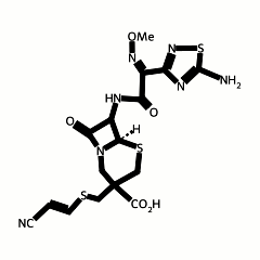 CON=C(C(=O)NC1C(=O)N2CC(CSC=CC#N)(C(=O)O)CS[C@H]12)c1nsc(N)n1